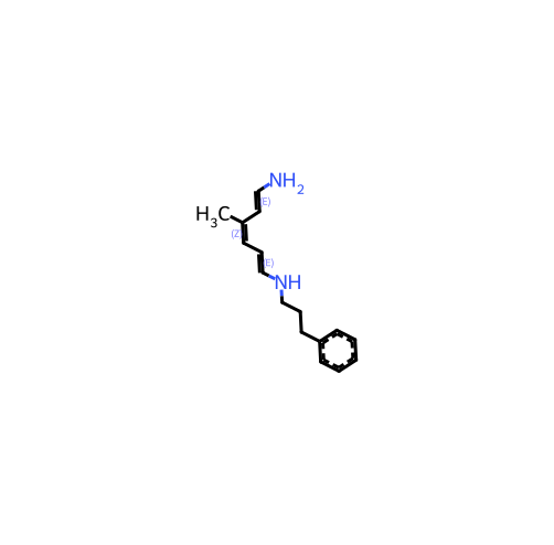 CC(=C/C=C/NCCCc1ccccc1)/C=C/N